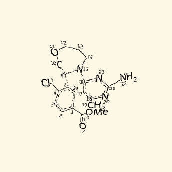 COC(=O)c1ccc(Cl)c([C@@H]2COCCCN2c2cc(C)nc(N)n2)c1